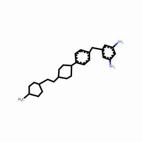 CC1CCC(CCC2CCC(c3ccc(Cc4cc(N)cc(N)c4)cc3)CC2)CC1